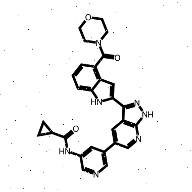 O=C(Nc1cncc(-c2cnc3[nH]nc(-c4cc5c(C(=O)N6CCOCC6)cccc5[nH]4)c3c2)c1)C1CC1